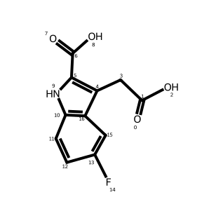 O=C(O)Cc1c(C(=O)O)[nH]c2ccc(F)cc12